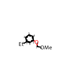 CCc1cccc(OCOC)c1